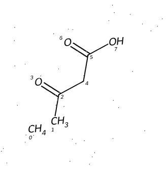 C.CC(=O)CC(=O)O